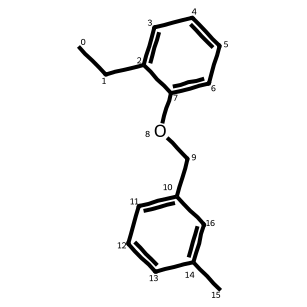 CCc1ccccc1OCc1cccc(C)c1